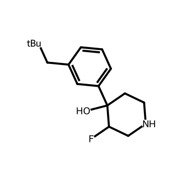 CC(C)(C)Cc1cccc(C2(O)CCNCC2F)c1